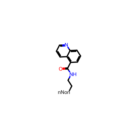 CCCCCCCCCCCNC(=O)c1cccc2ncccc12